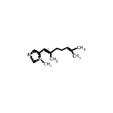 CC(C)=CCC/C(C)=C/c1cncn1C